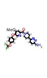 COc1cc(C(=O)N2CCC(c3ccc(N)nn3)CC2)ncc1Oc1ccc(OC(F)F)cc1